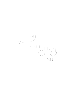 COc1ccncc1C(=O)NCc1ccc(-c2nn(C3CCCC3)c3ncnc(N)c23)cc1